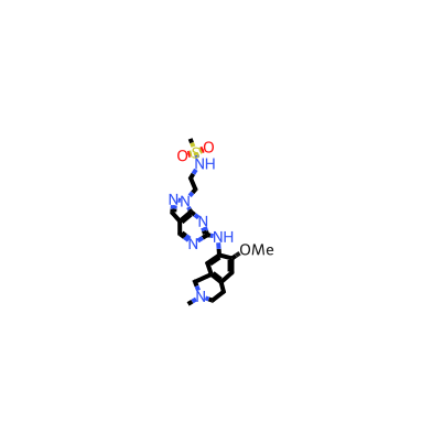 COc1cc2c(cc1Nc1ncc3cnn(CCNS(C)(=O)=O)c3n1)CN(C)CC2